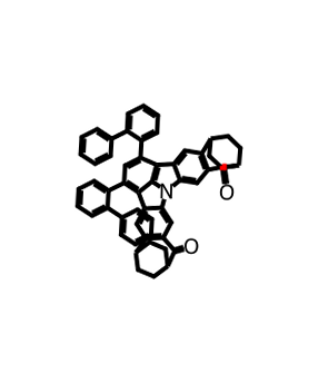 O=C1c2cc3c(cc2C2CCC1CC2)c1c(-c2ccccc2-c2ccccc2)cc(-c2ccccc2-c2ccccc2)c2c4cc5c(cc4n3c12)C(=O)C1CCC5CC1